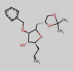 C=CC[C@@H]1OC(C[C@@H]2COC(C)(C)O2)[C@H](OCc2ccccc2)[C@H]1O